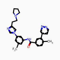 Cc1ccc(C(=O)Nc2cc(-n3cnc(CCN4CCCC4)c3)cc(C(F)(F)F)c2)cc1-c1ccnnc1